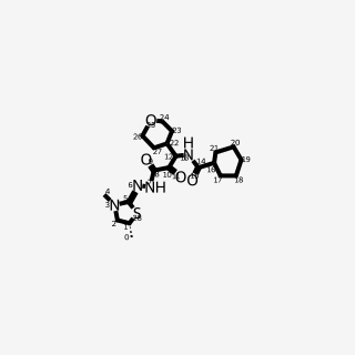 C[C@@H]1CN(C)/C(=N/NC(=O)C(=O)C(NC(=O)C2CCCCC2)C2CCOCC2)S1